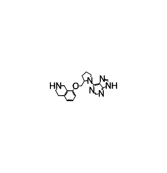 c1cc2c(c(OCC3CCCN3c3ncnc4[nH]cnc34)c1)CNCC2